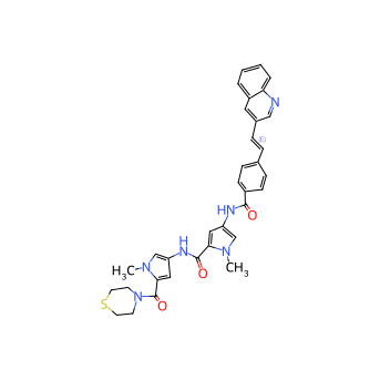 Cn1cc(NC(=O)c2ccc(/C=C/c3cnc4ccccc4c3)cc2)cc1C(=O)Nc1cc(C(=O)N2CCSCC2)n(C)c1